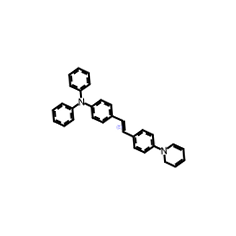 C1=CCN(c2ccc(/C=C/c3ccc(N(c4ccccc4)c4ccccc4)cc3)cc2)C=C1